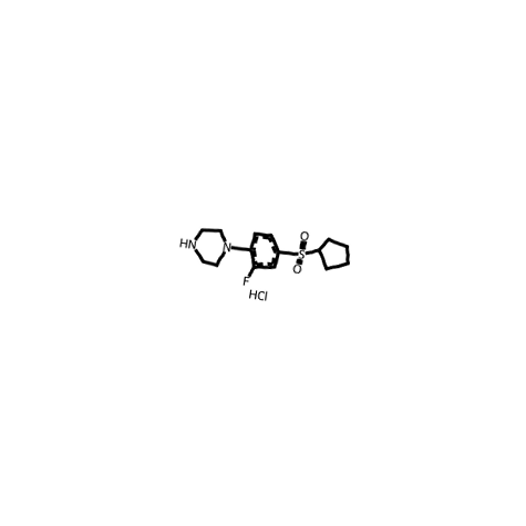 Cl.O=S(=O)(c1ccc(N2CCNCC2)c(F)c1)C1CCCC1